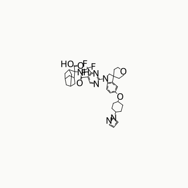 O=C(NC1(C(=O)O)C2CC3CC(C2)CC1C3)c1cnc(N2CC3(CCOCC3)c3cc(OC4CCC(n5cccn5)CC4)ccc32)nc1C(F)(F)F